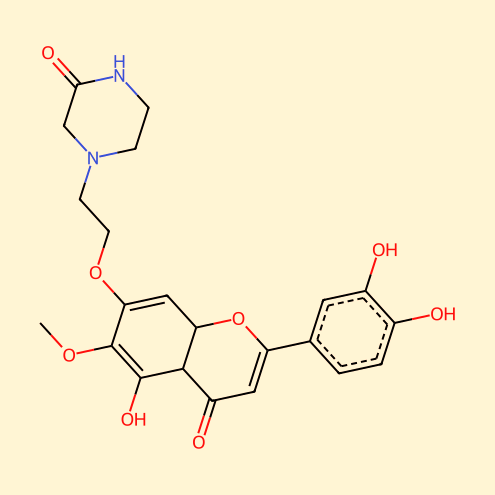 COC1=C(O)C2C(=O)C=C(c3ccc(O)c(O)c3)OC2C=C1OCCN1CCNC(=O)C1